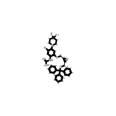 O=C(O)Nc1cc(F)c(N2CCC(F)(F)CC2)cc1OC[C@H]1O[C@H]1COC(c1ccccc1)(c1ccccc1)c1ccccc1